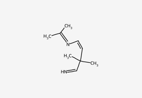 CC(C)=N/C=C\C(C)(C)C=N